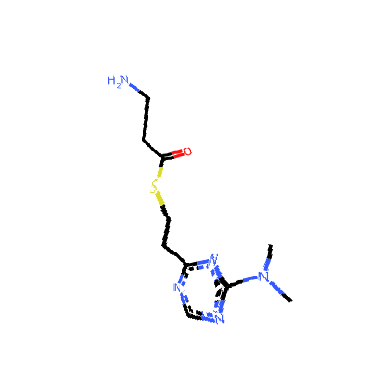 CN(C)c1ncnc(CCSC(=O)CCN)n1